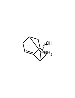 N[C@@H]1C2CC=C3C1C[C@]3(O)C2